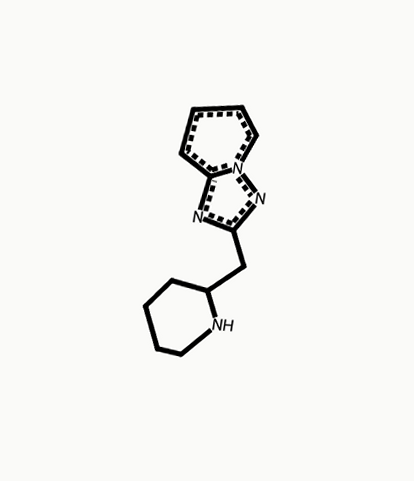 c1ccn2nc(CC3CCCCN3)nc2c1